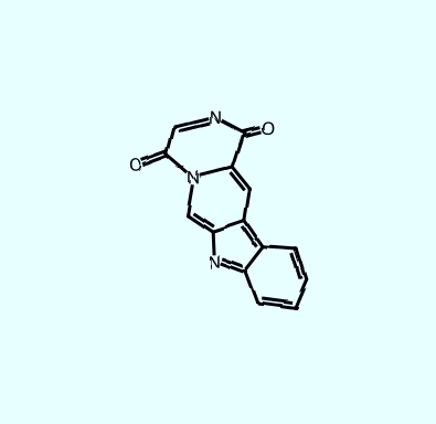 O=C1N=CC(=O)n2cc3nc4ccccc4c-3cc21